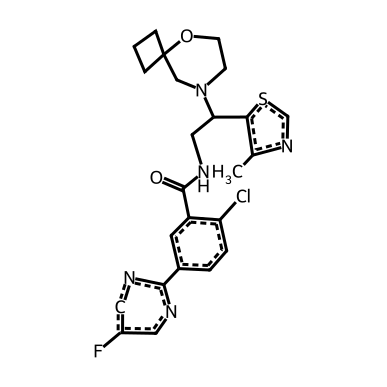 Cc1ncsc1C(CNC(=O)c1cc(-c2ncc(F)cn2)ccc1Cl)N1CCOC2(CCC2)C1